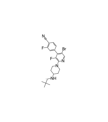 CC(C)(C)[CH]NC1CCN(c2ncc(Br)c(-c3ccc(C#N)c(F)c3)c2F)CC1